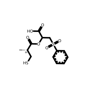 C[C@@H](CS)C(=O)OC(CS(=O)(=O)c1ccccc1)C(=O)O